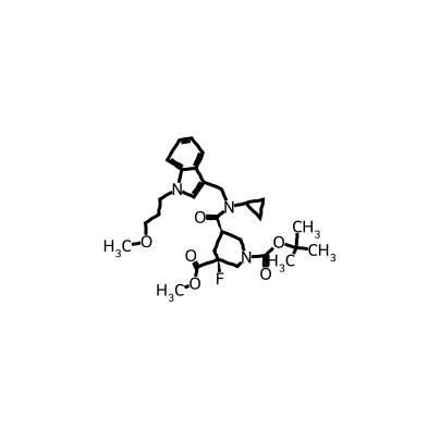 COCCCn1cc(CN(C(=O)[C@H]2CN(C(=O)OC(C)(C)C)C[C@](F)(C(=O)OC)C2)C2CC2)c2ccccc21